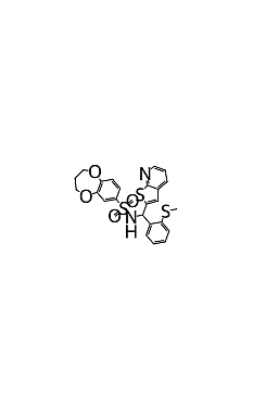 CSc1ccccc1C(NS(=O)(=O)c1ccc2c(c1)OCCCO2)c1cc2cccnc2s1